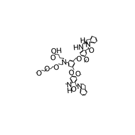 CNc1cc(OCc2cc(COc3cc4c(cc3OC)C(=O)N3c5ccccc5C[C@H]3CN4)cc(N(CCCC(=O)O)CCOCCOCCOC)c2)c(OC)cc1C(=O)N1CCc2ccccc21